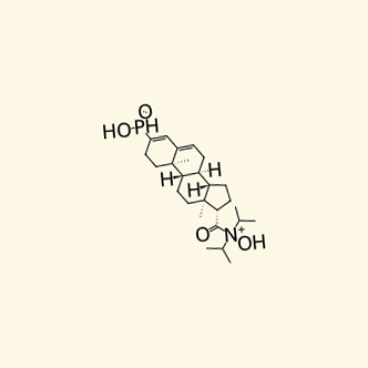 CC(C)[N+](O)(C(=O)[C@H]1CC[C@H]2[C@@H]3CC=C4C=C([PH](=O)O)CC[C@]4(C)[C@H]3CC[C@]12C)C(C)C